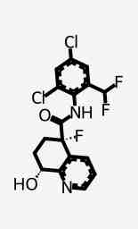 O=C(Nc1c(Cl)cc(Cl)cc1C(F)F)[C@]1(F)CC[C@@H](O)c2ncccc21